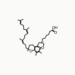 CC(C)=CCCC(C)=CCCC(C)=CCCC1(C)CCc2c3c(c(C)c(C)c2O1)OCN(CCCCCC(=O)O)C3